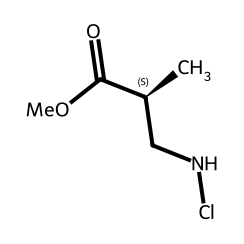 COC(=O)[C@@H](C)CNCl